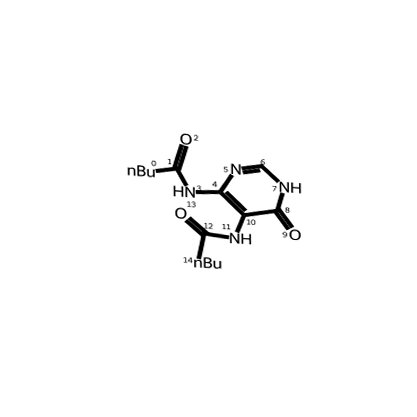 CCCCC(=O)Nc1nc[nH]c(=O)c1NC(=O)CCCC